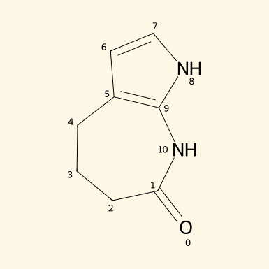 O=C1CCCc2cc[nH]c2N1